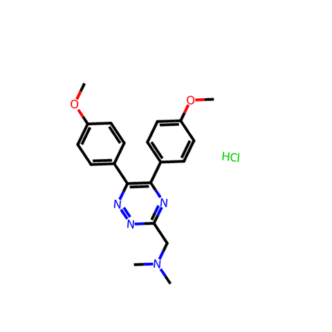 COc1ccc(-c2nnc(CN(C)C)nc2-c2ccc(OC)cc2)cc1.Cl